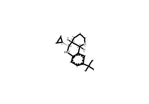 CC(C)(C)c1ccc2c(c1)[C@H]1OCCC[C@H]1[C@@H](C1CC1)N2